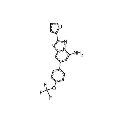 Nc1cc(-c2ccc(OC(F)(F)F)cc2)cc2nc(-c3ccco3)nn12